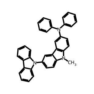 Cn1c2ccc(N(c3ccccc3)c3ccccc3)cc2c2cc(-n3c4ccccc4c4ccccc43)ccc21